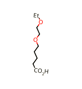 CCOCCOCCCCC(=O)O